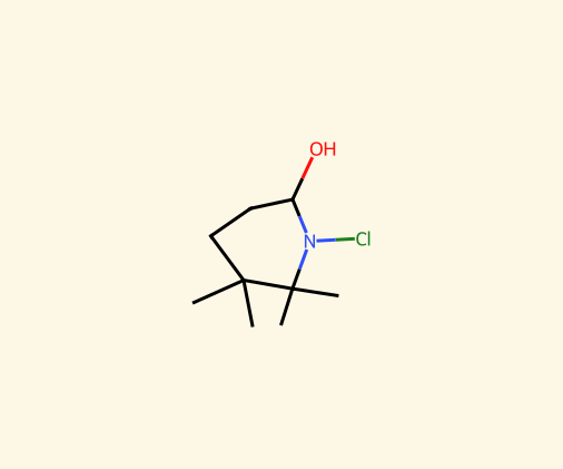 CC1(C)CCC(O)N(Cl)C1(C)C